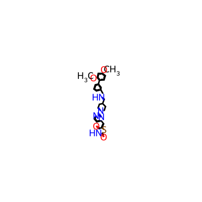 COc1ccc(-c2cccc(CNCC3CCN(c4nccc(C=C5SC(=O)NC5=O)n4)CC3)c2)c(OC)c1